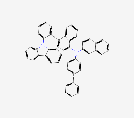 c1ccc(-c2ccc(N(c3ccc4ccccc4c3)c3ccc(-c4ccccc4-n4c5ccccc5c5ccccc54)c4ccccc34)cc2)cc1